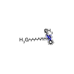 CCCCCCCCCCCCCCc1n(-c2ccccc2)cc[n+]1CCCC